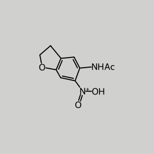 CC(=O)Nc1cc2c(cc1[N+](=O)O)OCC2